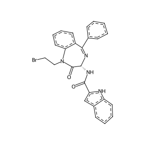 O=C(N[C@H]1N=C(c2ccccc2)c2ccccc2N(CCBr)C1=O)c1cc2ccccc2[nH]1